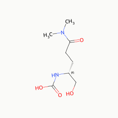 CN(C)C(=O)CC[C@H](CO)NC(=O)O